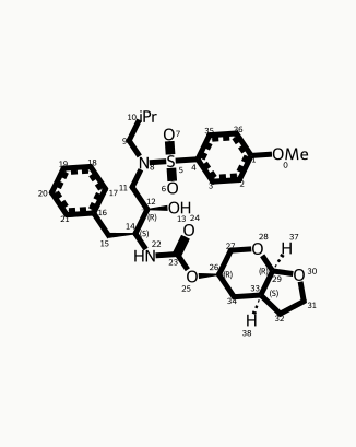 COc1ccc(S(=O)(=O)N(CC(C)C)C[C@@H](O)[C@H](Cc2ccccc2)NC(=O)O[C@H]2CO[C@H]3OCC[C@H]3C2)cc1